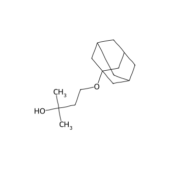 CC(C)(O)CCOC12CC3CC(CC(C3)C1)C2